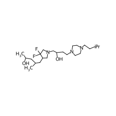 CC(C)CCN1CCN(CCC(O)CN2CC(CC(C)CC(C)O)C(F)(F)C2)CC1